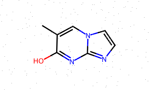 Cc1cn2ccnc2nc1O